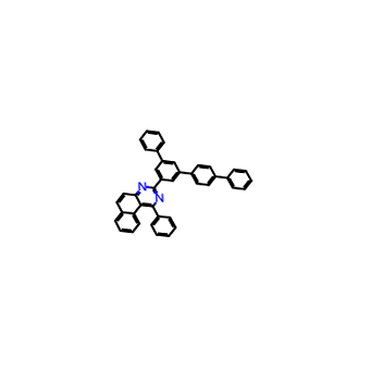 c1ccc(-c2ccc(-c3cc(-c4ccccc4)cc(-c4nc(-c5ccccc5)c5c(ccc6ccccc65)n4)c3)cc2)cc1